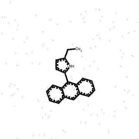 CCc1ccc(-c2c3ccccc3cc3ccccc23)[nH]1